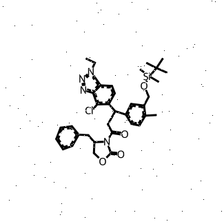 CCn1nnc2c(Cl)c(C(CC(=O)N3C(=O)OCC3Cc3ccccc3)c3ccc(C)c(CO[Si](C)(C)C(C)(C)C)c3)ccc21